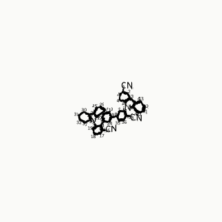 N#CC1=Cc2c(n(-c3cc(-c4cccc(-c5c(C#N)cccc5-n5c6c(c7ccccc75)CCC=C6)c4)ccc3C#N)c3ccccc23)CC1